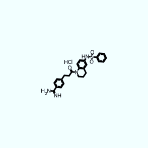 Cl.N=C(N)c1ccc(CCC(=O)N2CCCc3cc(NS(=O)(=O)c4ccccc4)ccc32)cc1